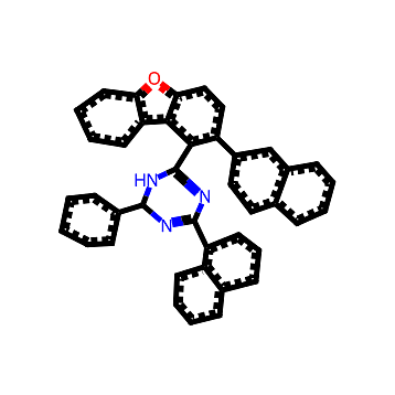 c1ccc(C2N=C(c3cccc4ccccc34)N=C(c3c(-c4ccc5ccccc5c4)ccc4oc5ccccc5c34)N2)cc1